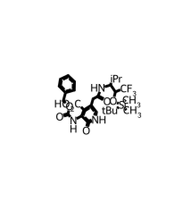 CC(C)C(NC(=O)Cc1c[nH]c(=O)c(NC(=O)OCc2ccccc2)c1C(=O)O)C(O[Si](C)(C)C(C)(C)C)C(F)(F)F